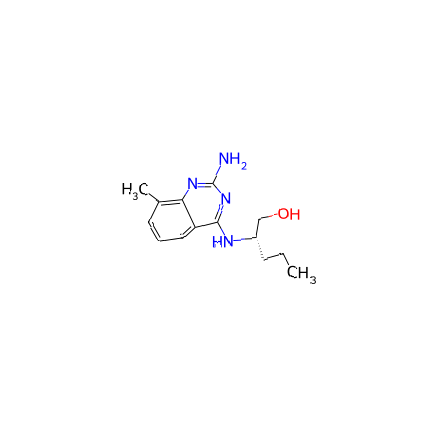 CCC[C@@H](CO)Nc1nc(N)nc2c(C)cccc12